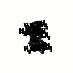 Cc1cc2c3c(c1)N(c1ccc(C(C)(C)C)cc1)c1c(oc4ccc(C(C)(C)C)cc14)B3c1ccc3c4c1N2c1c(C)cc2c(c1C4(C)CCC3(C)C)C(C)(C)CCC2(C)C